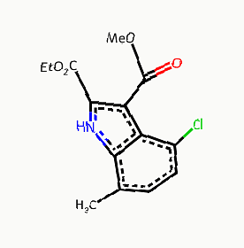 CCOC(=O)c1[nH]c2c(C)ccc(Cl)c2c1C(=O)OC